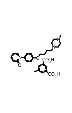 CN1CCN(CCCCOc2ccc(-n3ccccc3=O)cc2)CC1.Cc1cc(C(=O)O)cc(C(=O)O)c1